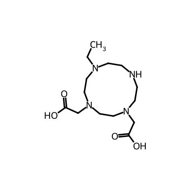 CCN1CCNCCN(CC(=O)O)CCN(CC(=O)O)CC1